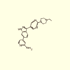 CCN1CCN(c2ncc(-c3n[nH]c4cc(-c5ccnc(N)c5)ccc34)cn2)CC1